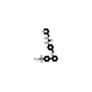 NS(=O)(=O)c1ccc(-c2ccccc2OCc2ccc(NC(=O)NCc3cccnc3)cc2)cc1